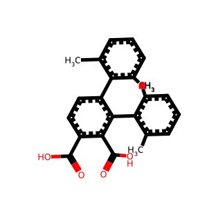 Cc1cccc(C)c1-c1ccc(C(=O)O)c(C(=O)O)c1-c1c(C)cccc1C